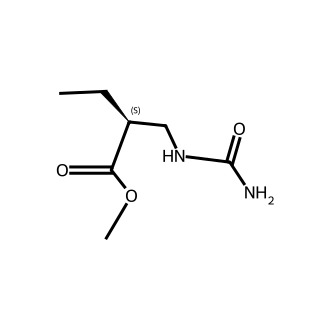 CC[C@@H](CNC(N)=O)C(=O)OC